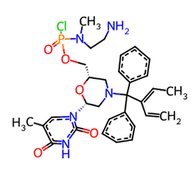 C=C/C(=C\C)C(c1ccccc1)(c1ccccc1)N1C[C@@H](COP(=O)(Cl)N(C)CCN)O[C@@H](n2cc(C)c(=O)[nH]c2=O)C1